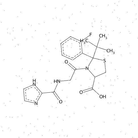 CC(C)(C)C1(c2ccccc2F)SCC(C(=O)O)N1C(=O)CNC(=O)c1ncc[nH]1